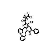 O=C(NC1(C(=O)O)CC1)c1nc(-c2cccnc2)c2c(cc(-c3ccccc3)c(=O)n2CCc2ccccc2)c1O